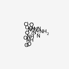 N#Cc1c(N)ncnc1N1CCCC1c1nc2cccc(Cl)c2c(=O)n1-c1cccc(NC(=O)NCC2OCCO2)c1